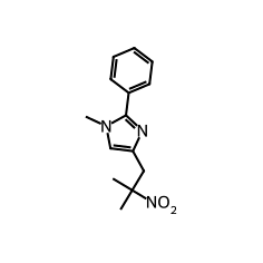 Cn1cc(CC(C)(C)[N+](=O)[O-])nc1-c1ccccc1